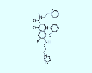 CN(CCc1ccccn1)C(=O)c1cn2c3c(c(NCCCn4ccnc4)c(F)cc3c1=O)Sc1ccccc1-2